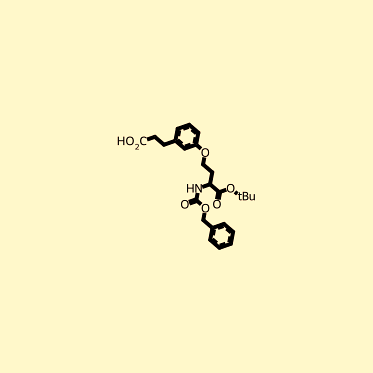 CC(C)(C)OC(=O)C(CCOc1cccc(CCC(=O)O)c1)NC(=O)OCc1ccccc1